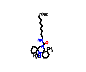 CCCCCCCCCCCCCCCCCCNC(=O)N1CC2(CCCCC2C)NC2(CCCCC2C)C1